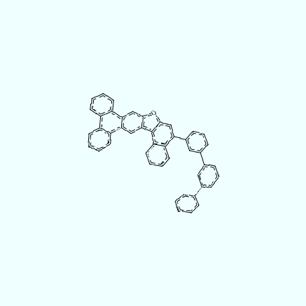 c1ccc(-c2cccc(-c3cccc(-c4cc5oc6cc7c8ccccc8c8ccccc8c7cc6c5c5ccccc45)c3)c2)cc1